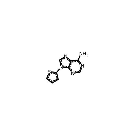 Nc1ncnc2c1ncn2-c1cccs1